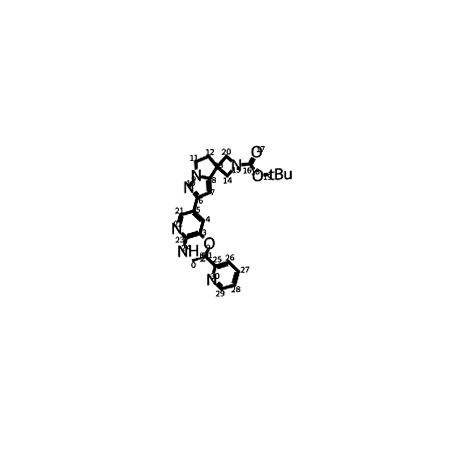 C[C@@H](Oc1cc(-c2cc3n(n2)CCC32CN(C(=O)OC(C)(C)C)C2)cnc1N)c1ccccn1